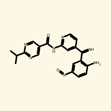 CC(C)c1ncc(C(=O)Nc2cc(C(=N)c3cc(N=O)ccc3N)ccn2)cn1